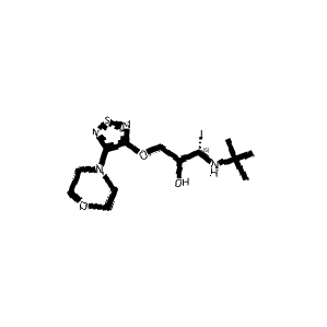 CC(C)(C)N[C@@H](I)C(O)COc1nsnc1N1CCOCC1